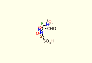 C[C@@H]1CN(c2c(C=O)cc3c(-n4cc(CCS(=O)(=O)O)sc4=O)noc3c2F)C[C@@H](C)O1